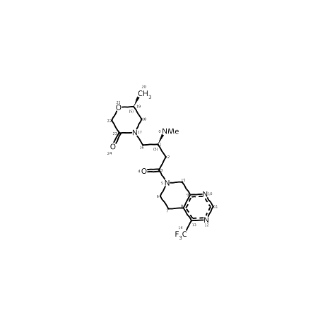 CN[C@@H](CC(=O)N1CCc2c(ncnc2C(F)(F)F)C1)CN1C[C@H](C)OCC1=O